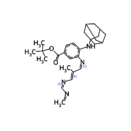 C=N\C=N/C=C(C)/C=N\c1cc(C(=O)OC(C)(C)C)ccc1NC12CC3CC(CC(C3)C1)C2